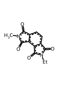 CCn1c(=O)c2ccc3c(=O)n(C)c(=O)c3c2c1=O